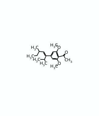 CCC(C)/C=C(/c1cc(OC)c(C(C)=O)c(OC)c1)C(C)C